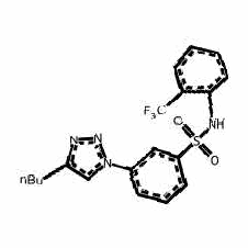 CCCCc1cn(-c2cccc(S(=O)(=O)Nc3ccccc3C(F)(F)F)c2)nn1